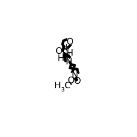 CCOC(=O)N1CCC2(CC(N3C[C@@H]4[C@H](C3)[C@@H]4C(=O)N3CCCOCC3)C2)C1